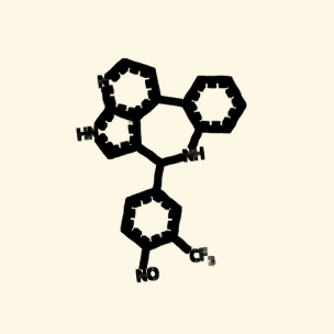 O=Nc1ccc(C2Nc3ccccc3-c3ccnc4[nH]cc2c34)cc1C(F)(F)F